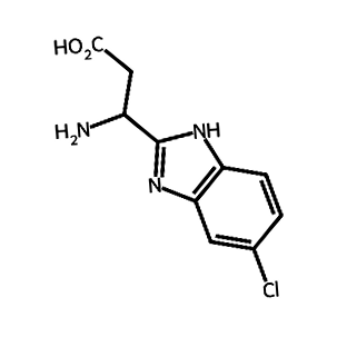 NC(CC(=O)O)c1nc2cc(Cl)ccc2[nH]1